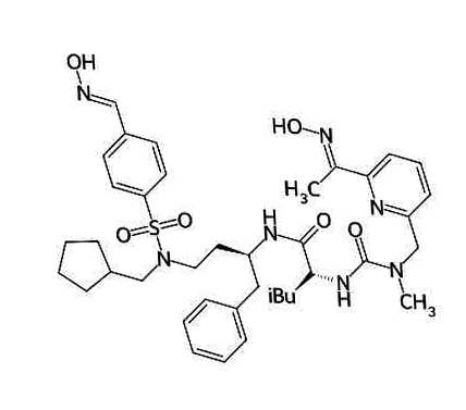 CC[C@H](C)[C@@H](NC(=O)N(C)Cc1cccc(/C(C)=N/O)n1)C(=O)N[C@H](CCN(CC1CCCC1)S(=O)(=O)c1ccc(C=NO)cc1)Cc1ccccc1